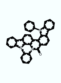 O=c1c2ccc3c4ccccc4n(-c4ccccc4)c3c2c2ccc3c4ccccc4n4c5ccccc5n1c2c34